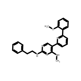 CNc1nc(NCCc2ccccc2)ncc1-c1cccc(-c2ccccc2OC)n1